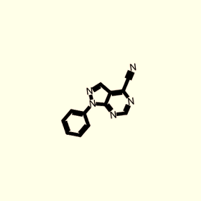 N#Cc1ncnc2c1cnn2-c1ccccc1